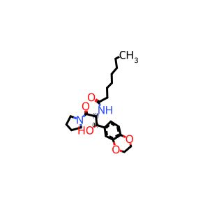 CCCCCCCC(=O)N[C@H](C(=O)N1CCCC1)[C@H](O)c1ccc2c(c1)OCCO2